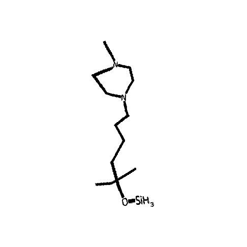 CN1CCN(CCCCC(C)(C)O[SiH3])CC1